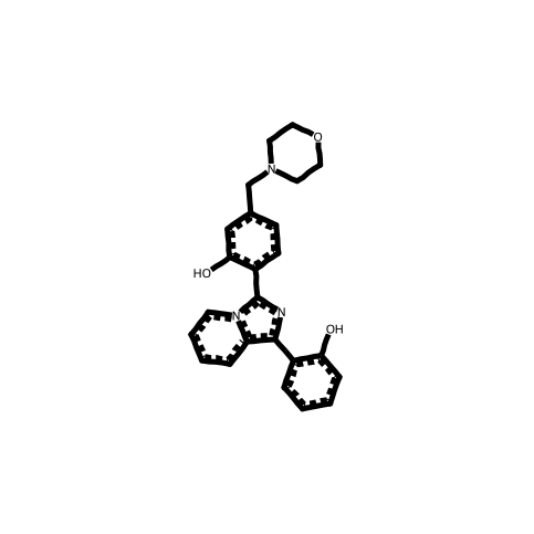 Oc1ccccc1-c1nc(-c2ccc(CN3CCOCC3)cc2O)n2ccccc12